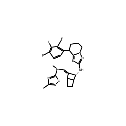 Cc1noc(N(C)/C=C2\C3CCC3[C@H]2Nc2nc3n(n2)CCCC3c2ccc(F)c(F)c2F)n1